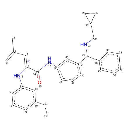 C=C(C)/C=C(\Nc1cccc(CC)c1)C(=O)Nc1cccc(C(NCC2CC2)c2ccccc2)c1